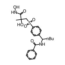 CCCCC(NC(=O)c1ccccc1)c1ccc(S(=O)(=O)CC(C)(O)C(=O)NO)cc1